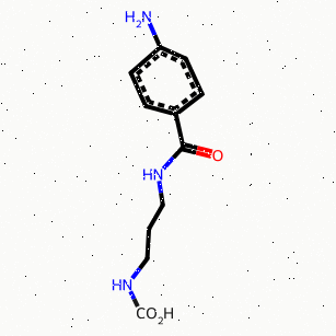 Nc1ccc(C(=O)NCCCNC(=O)O)cc1